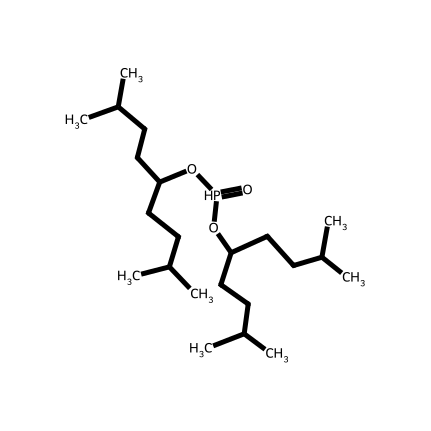 CC(C)CCC(CCC(C)C)O[PH](=O)OC(CCC(C)C)CCC(C)C